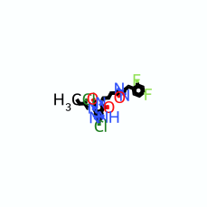 CCC(Cl)Cn1c(=O)n(CCCc2nc(Cc3ccc(F)cc3F)no2)c(=O)c2[nH]c(Cl)nc21